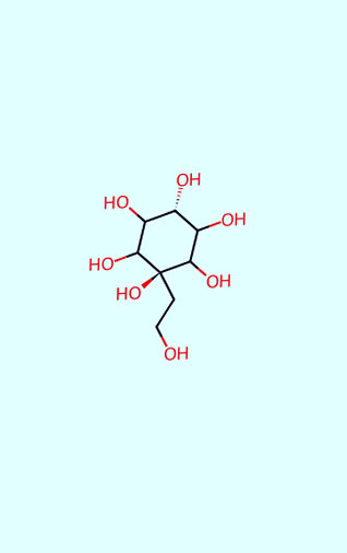 OCC[C@]1(O)C(O)C(O)[C@H](O)C(O)C1O